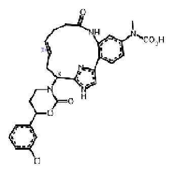 CN(C(=O)O)c1ccc2c(c1)NC(=O)CC/C=C/C[C@H](N1CCC(c3cccc(Cl)c3)OC1=O)c1nc-2c[nH]1